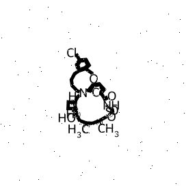 C[C@@H]1C[C@@H](C)CS(=O)(=O)NC(=O)c2ccc3c(c2)N(CCCCc2cc(Cl)ccc2CO3)C[C@@H]2CC[C@H]2[C@H](O)C1